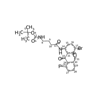 CC(C)(C)OC(=O)NCCCC(=O)Nc1ccc(Br)c(Cl)c1C(=O)c1c(F)cccc1F